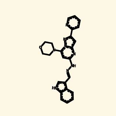 C(=NNc1cc(N2CCOCC2)n2nc(-c3ccccn3)cc2n1)c1c[nH]c2ccccc12